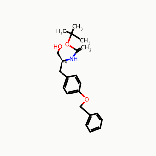 C=C(N[C@H](CO)Cc1ccc(OCc2ccccc2)cc1)OC(C)(C)C